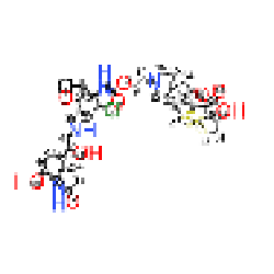 COc1cc(NC(=O)OCCN2CCC3(CC2)CC(OC(C(=O)O)(c2cccs2)c2cccs2)C3)c(Cl)cc1CNC[C@H](O)c1ccc(O)c2[nH]c(=O)ccc12